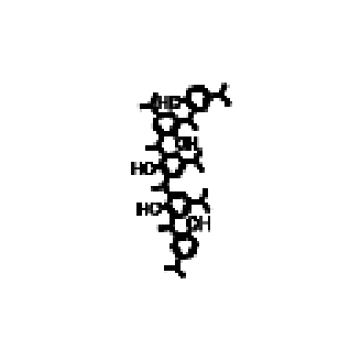 CC(C)c1ccc(O)c(C(C)c2cc(C(C)C)cc(C(C)c3cc(C(C)C)cc(C(C)c4cc(C(C)C)cc(C(C)c5cc(C(C)C)ccc5O)c4O)c3O)c2O)c1